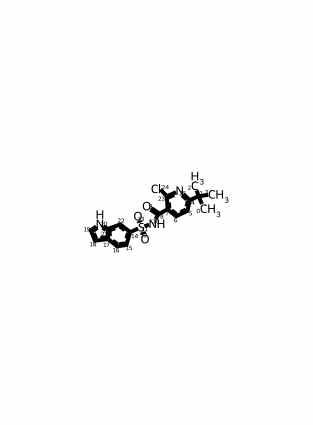 CC(C)(C)c1ccc(C(=O)NS(=O)(=O)c2ccc3cc[nH]c3c2)c(Cl)n1